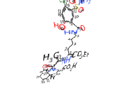 CCOC(=O)[C@H](CCCCNC(=O)c1cc(S(N)(=O)=O)c(Cl)cc1O)N[C@@H](C)C(=O)N1[C@@H]2CCCC[C@@H]2C[C@H]1C(=O)O